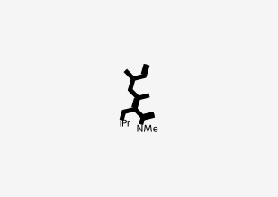 C=CC(C)C/C(C)=C(\CC(C)C)C(=C)NC